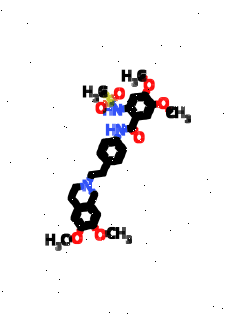 COc1cc2c(cc1OC)CN(CCc1ccc(NC(=O)c3cc(OC)c(OC)cc3NS(C)(=O)=O)cc1)CC2